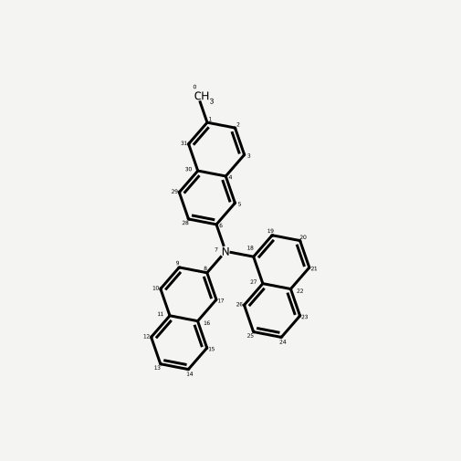 Cc1ccc2cc(N(c3ccc4ccccc4c3)c3cccc4ccccc34)ccc2c1